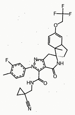 Cc1ccc(-n2nc3c(c2C(=O)NCC2(C#N)CC2)C(=O)N[C@@]2(CCC4C=C(OCC(F)(F)F)C=CC42C)C3)cc1F